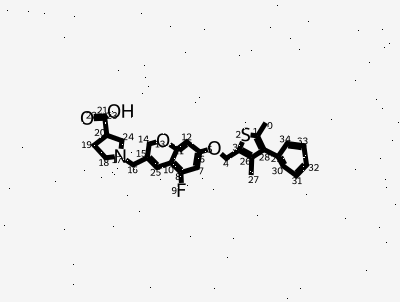 Cc1sc(COc2cc(F)c3c(c2)OCC(CN2CCC(C(=O)O)C2)=C3)c(C)c1-c1ccccc1